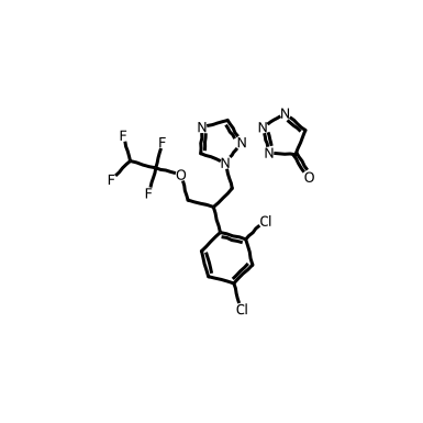 FC(F)C(F)(F)OCC(Cn1cncn1)c1ccc(Cl)cc1Cl.O=C1C=NN=N1